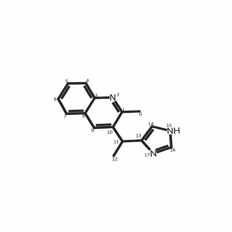 Cc1nc2ccccc2cc1C(C)c1c[nH]cn1